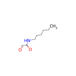 CCCCCCNC(=O)[C]=O